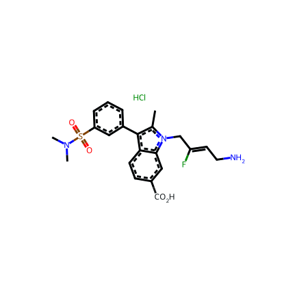 Cc1c(-c2cccc(S(=O)(=O)N(C)C)c2)c2ccc(C(=O)O)cc2n1CC(F)=CCN.Cl